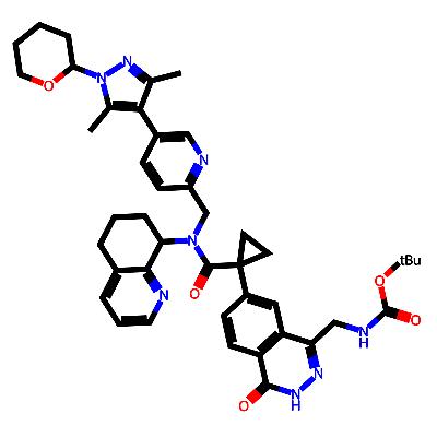 Cc1nn(C2CCCCO2)c(C)c1-c1ccc(CN(C(=O)C2(c3ccc4c(=O)[nH]nc(CNC(=O)OC(C)(C)C)c4c3)CC2)C2CCCc3cccnc32)nc1